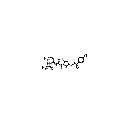 C/C=C\C(=N/C(=O)N[C@@H]1S[C@H](COC(=O)c2ccc(Cl)cc2)C[C@@H]1F)NC(C)=O